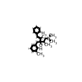 CC(=Cc1ccccc1)C(O)(Cc1cccc(C)c1)C(C)CN(C)C